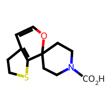 O=C(O)N1CCC2(CC1)OC=CC1=C2SCC1